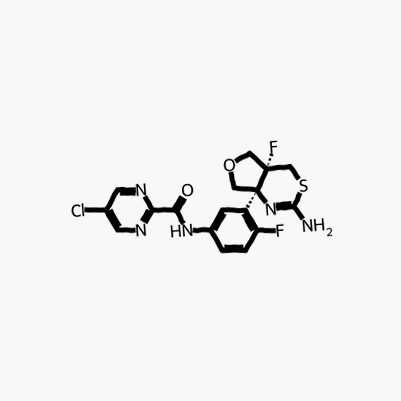 NC1=N[C@@]2(c3cc(NC(=O)c4ncc(Cl)cn4)ccc3F)COC[C@@]2(F)CS1